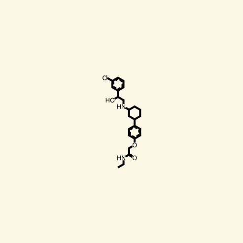 CCNC(=O)COc1ccc(C2CCCC(NCC(O)c3cccc(Cl)c3)C2)cc1